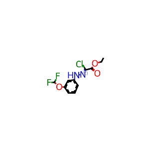 CCOC(=O)/C(Cl)=N/Nc1cccc(OC(F)F)c1